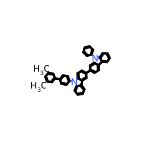 Cc1cc(C)cc(-c2ccc(-n3c4ccccc4c4cc(-c5ccc6c7ccccc7n(-c7ccccc7)c6c5)ccc43)cc2)c1